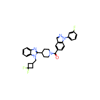 O=C(c1ccc2c(cnn2-c2cccc(F)c2)c1)N1CCC(c2nc3ccccc3n2CC2CC(F)(F)C2)CC1